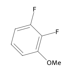 [CH2]Oc1cccc(F)c1F